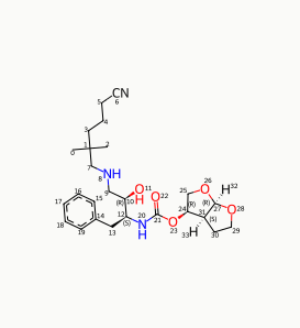 CC(C)(CCCC#N)CNC[C@@H](O)[C@H](Cc1ccccc1)NC(=O)O[C@H]1CO[C@H]2OCC[C@H]21